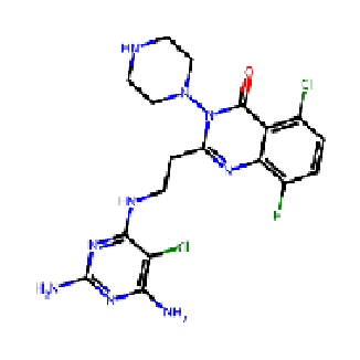 Nc1nc(N)c(Cl)c(NCCc2nc3c(F)ccc(Cl)c3c(=O)n2N2CCNCC2)n1